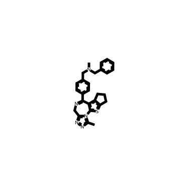 Cc1nnc2n1-c1sc3c(c1C(c1ccc(CN(C)Cc4ccccc4)cc1)=NC2)CCC3